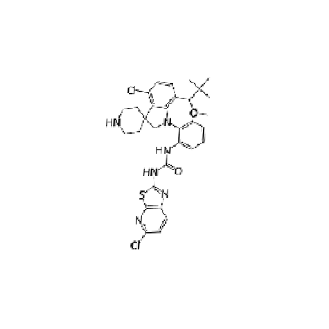 COC(c1ccc(Cl)c2c1N(c1ccccc1NC(=O)Nc1nc3ccc(Cl)nc3s1)CC21CCNCC1)C(C)(C)C